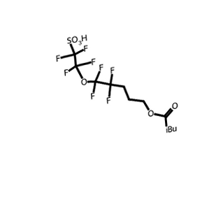 CCC(C)C(=O)OCCCC(F)(F)C(F)(F)OC(F)(F)C(F)(F)S(=O)(=O)O